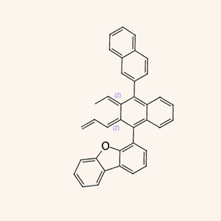 C=C/C=c1/c(-c2cccc3c2oc2ccccc23)c2ccccc2c(-c2ccc3ccccc3c2)/c1=C/C